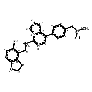 CN(C)Cc1ccc(-c2cnc(NCc3c(F)ccc4c3CCO4)n3cnnc23)cc1